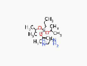 CCC[Si](OC(C)C)(OC(C)C)OC(C)C.NCCN